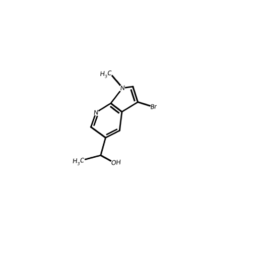 CC(O)c1cnc2c(c1)c(Br)cn2C